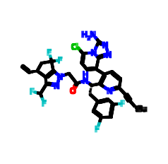 C=C[C@H]1CC(F)(F)c2c1c(C(F)F)nn2CC(=O)N[C@@H](Cc1cc(F)cc(F)c1)c1nc(C#CC(C)(C)C)ccc1-c1ccc(Cl)n2c(N)nnc12